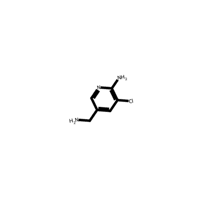 NCc1cnc(N)c(Cl)c1